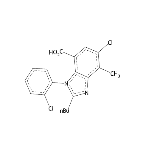 CCCCc1nc2c(C)c(Cl)cc(C(=O)O)c2n1-c1ccccc1Cl